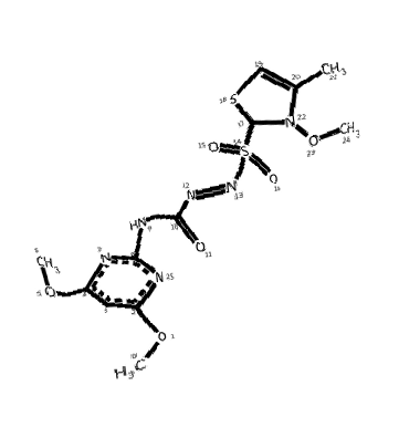 COc1cc(OC)nc(NC(=O)/N=N/S(=O)(=O)C2SC=C(C)N2OC)n1